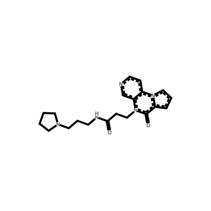 O=C(CCn1c(=O)c2cccn2c2ccncc21)NCCCN1CCCC1